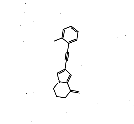 Cc1ccccc1C#Cc1cc2n(c1)CCCC2=O